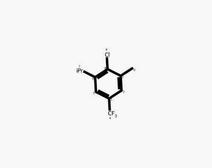 Cc1cc(C(F)(F)F)cc(C(C)C)c1Cl